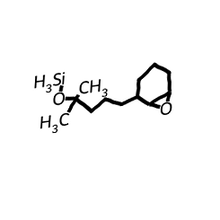 CC(C)(CCCC1CCCC2OC12)O[SiH3]